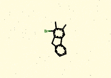 Cc1cc2c(c(Br)c1C)Cc1ccccc1-2